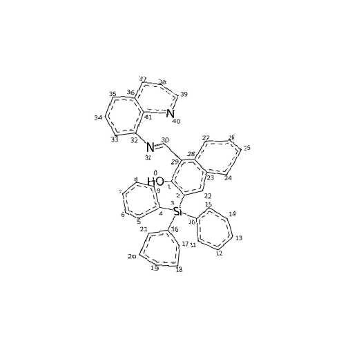 Oc1c([Si](c2ccccc2)(c2ccccc2)c2ccccc2)cc2ccccc2c1C=Nc1cccc2cccnc12